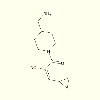 N#C/C(=C/C1CC1)C(=O)N1CCC(CN)CC1